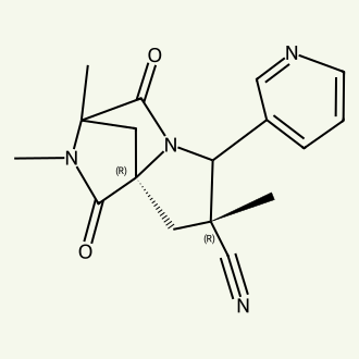 CN1C(=O)[C@@]23CC1(C)C(=O)N2C(c1cccnc1)[C@](C)(C#N)C3